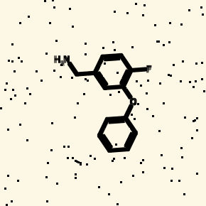 NCc1ccc(F)c(Oc2ccccc2)c1